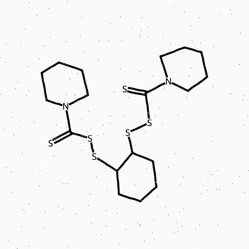 S=C(SSC1CCCCC1SSC(=S)N1CCCCC1)N1CCCCC1